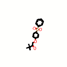 CC(C)(C)C(=O)COc1ccc(S(=O)(=O)c2ccccc2)cc1